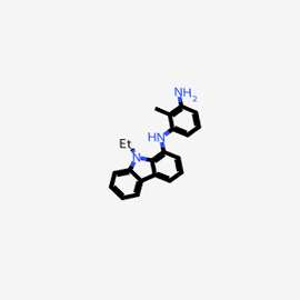 CCn1c2ccccc2c2cccc(Nc3cccc(N)c3C)c21